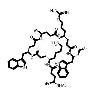 CC(=O)CC[C@H](Cc1c[nH]c2ccccc12)NC(=O)CC[C@H](CCCNC(=N)N)NC(=O)CCC(NC(=O)CC[C@H](Cc1c[nH]c2ccccc12)NC(=O)CC[C@H](CCCCN)NC(=O)CC[C@@H](NC(C)=O)C(C)C)C(C)C